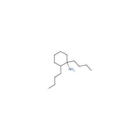 CCCCC1CCCCC1(N)CCCC